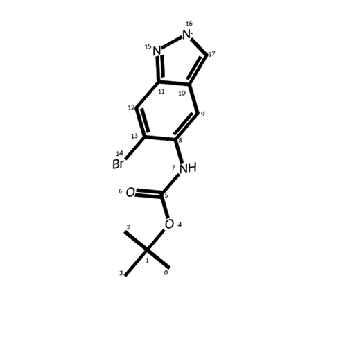 CC(C)(C)OC(=O)Nc1cc2c(cc1Br)=N[N]C=2